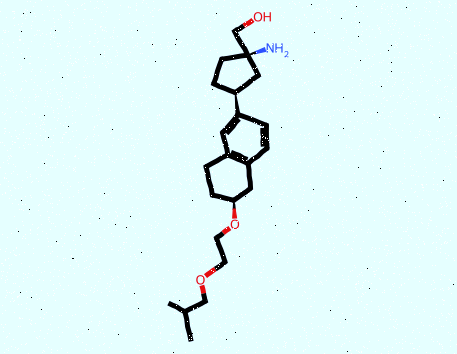 CC(C)COCCO[C@H]1CCc2cc([C@H]3CC[C@](N)(CO)C3)ccc2C1